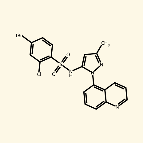 Cc1cc(NS(=O)(=O)c2ccc(C(C)(C)C)cc2Cl)n(-c2cccc3ncccc23)n1